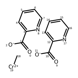 O=C([O-])c1ccccn1.O=C([O-])c1ccccn1.[CH3][Cr+2]